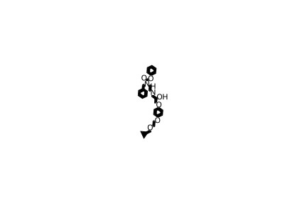 O=C(Oc1ccccc1)N(CCNC[C@H](O)COc1ccc(OCCOCC2CC2)cc1)Cc1ccccc1